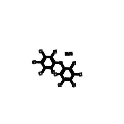 Clc1c(Cl)c(Cl)c(Oc2c(Cl)c(Cl)c(Cl)c(Cl)c2Cl)c(Cl)c1Cl.[NaH]